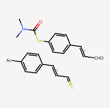 CC(=O)c1ccc(/C=C/C=S)cc1.CN(C)C(=O)Sc1ccc(/C=C/C=O)cc1